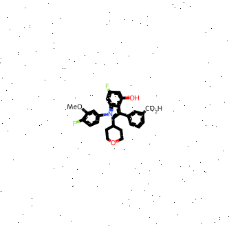 COc1cc(-n2c(C3CCOCC3)c(-c3cccc(C(=O)O)c3)c3c(O)cc(F)cc32)ccc1F